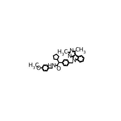 COc1ccc(CNC(=O)C(c2ccc(Cn3c4ccccc4c4c(C)nc(C)nc43)cc2)C2CCCC2)cc1